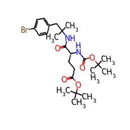 CC(C)(Cc1ccc(Br)cc1)NC(=O)[C@H](CCC(=O)OC(C)(C)C)NC(=O)OC(C)(C)C